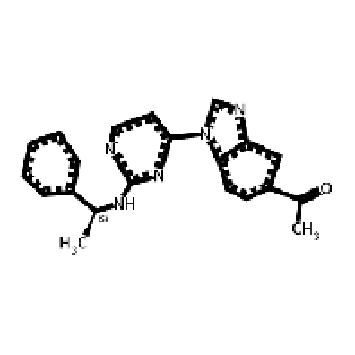 CC(=O)c1ccc2c(c1)ncn2-c1ccnc(N[C@@H](C)c2ccccc2)n1